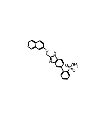 NS(=O)(=O)c1ccccc1-c1ccc2[nH]c(COc3ccc4ccccc4c3)nc2c1